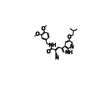 COc1ccc(CNC(=O)/C(C#N)=C/c2c[nH]c3ncc(OCC(C)C)cc23)cc1OC